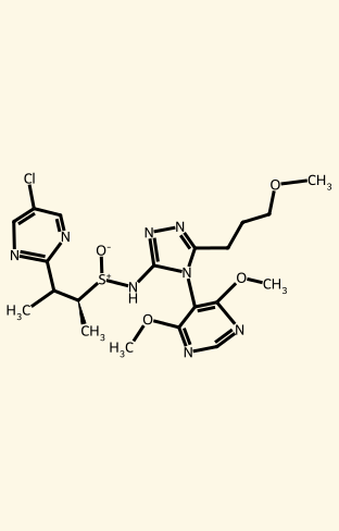 COCCCc1nnc(N[S+]([O-])[C@@H](C)C(C)c2ncc(Cl)cn2)n1-c1c(OC)ncnc1OC